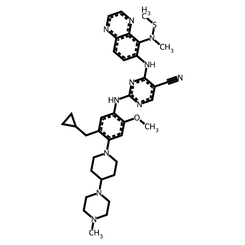 COc1cc(N2CCC(N3CCN(C)CC3)CC2)c(CC2CC2)cc1Nc1ncc(C#N)c(Nc2ccc3nccnc3c2N(C)SC)n1